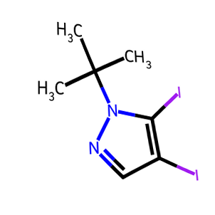 CC(C)(C)n1ncc(I)c1I